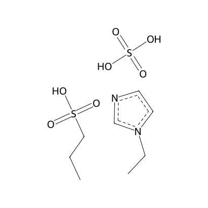 CCCS(=O)(=O)O.CCn1ccnc1.O=S(=O)(O)O